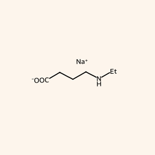 CCNCCCC(=O)[O-].[Na+]